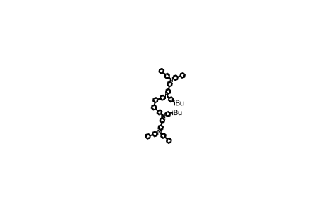 CCC(C)c1ccc(N(c2ccc(-c3ccc(N(c4ccc(-c5ccccc5)cc4)c4ccc(-c5ccccc5)cc4)cc3)cc2)c2ccc(-c3cccc(-c4cccc(-c5ccc(N(c6ccc(-c7ccc(N(c8ccc(-c9ccccc9)cc8)c8ccc(-c9ccccc9)cc8)cc7)cc6)c6ccc(C(C)CC)cc6)cc5)c4)c3)cc2)cc1